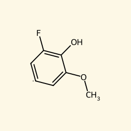 COc1c[c]cc(F)c1O